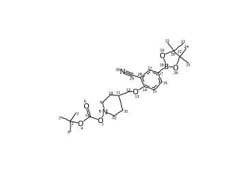 CC(C)(C)OC(=O)ON1CCC(COc2ccc(B3OC(C)(C)C(C)(C)O3)cc2C#N)CC1